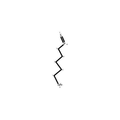 CCCCCCCCP=S